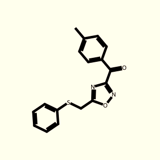 Cc1ccc(C(=O)c2noc(CSc3ccccc3)n2)cc1